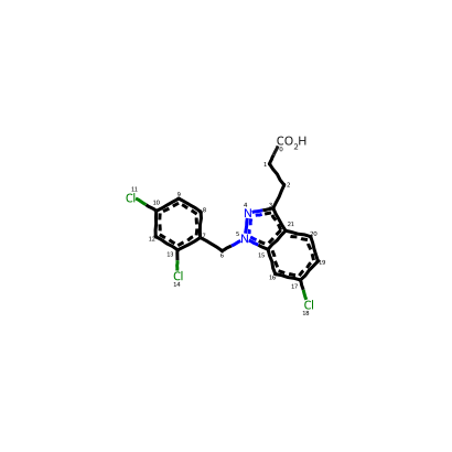 O=C(O)CCc1nn(Cc2ccc(Cl)cc2Cl)c2cc(Cl)ccc12